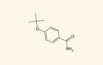 CC(C)(C)Oc1ccc(C(N)=O)cc1